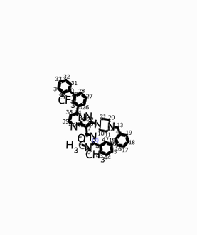 CN(C)/C(=N\C(=O)c1c(N2CCN(Cc3ccccc3)CC2)nn2c(-c3cccc(-c4ccccc4C(F)(F)F)c3)ccnc12)c1ccccc1